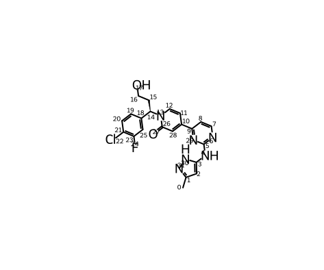 Cc1cc(Nc2nccc(-c3ccn([C@H](CCO)c4ccc(Cl)c(F)c4)c(=O)c3)n2)[nH]n1